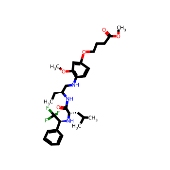 CC[C@@H](CNc1ccc(OCCCC(=O)OC)cc1OC)NC(=O)[C@H](CC(C)C)N[C@@H](c1ccccc1)C(F)(F)F